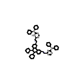 C1=NC(/C=C/c2ccc3c(-c4ccccc4)c(-c4ccccc4)c4ccc(/C=C/c5ncnc(N(c6ccccc6)c6ccccc6)n5)cc4c3c2)NC(N(c2ccccc2)c2ccccc2)=N1